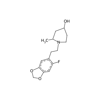 CC1CC(O)CCN1CCc1cc2c(cc1F)OCO2